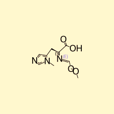 COO/C=N/[C@@H](Cc1cncn1C)C(=O)O